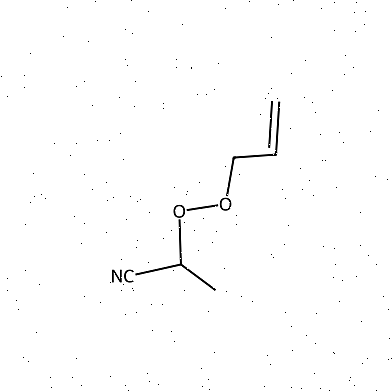 C=CCOOC(C)C#N